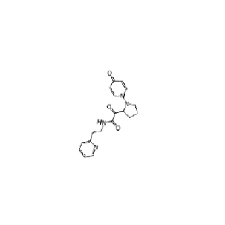 O=C(NCCc1ccccn1)C(=O)C1CCCN1n1ccc(=O)cc1